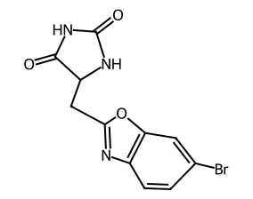 O=C1NC(=O)C(Cc2nc3ccc(Br)cc3o2)N1